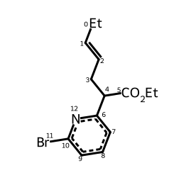 CCC=CCC(C(=O)OCC)c1cccc(Br)n1